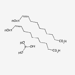 CCCCCCCC/C=C\CCCCCCCC(=O)O.CCCCCCCC/C=C\CCCCCCCC(=O)O.OP(O)O